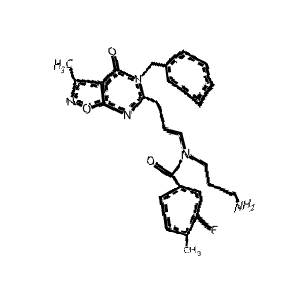 Cc1ccc(C(=O)N(CCCN)CCCc2nc3onc(C)c3c(=O)n2Cc2ccccc2)cc1F